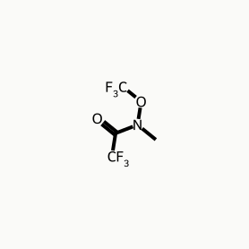 CN(OC(F)(F)F)C(=O)C(F)(F)F